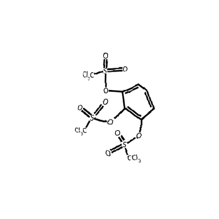 O=S(=O)(Oc1cccc(OS(=O)(=O)C(Cl)(Cl)Cl)c1OS(=O)(=O)C(Cl)(Cl)Cl)C(Cl)(Cl)Cl